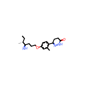 CC[C@@H](C)C(=N)CCCOc1ccc(C2=NNC(=O)CC2)c(C)c1